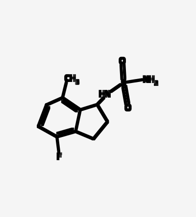 Cc1ccc(F)c2c1C(NS(N)(=O)=O)CC2